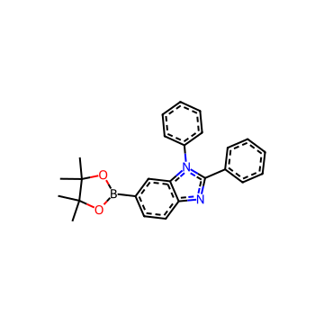 CC1(C)OB(c2ccc3nc(-c4ccccc4)n(-c4ccccc4)c3c2)OC1(C)C